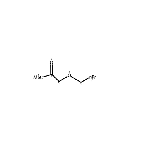 CCCCOCC(=O)OC